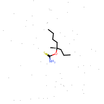 CCCC[C@](C)(CCC)OC(N)=S